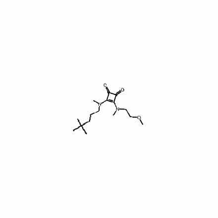 COCCN(C)c1c(N(C)CCCC(C)(C)C)c(=O)c1=O